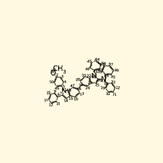 COc1ccc(-n2c(-c3ccccc3)cc3ccc(-c4ccc5c(c4)cc(N(c4ccccc4)c4ccccc4)n5-c4ccccc4)cc32)cc1